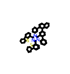 c1ccc(-c2ccc(-c3c(-c4ccccc4)ccc4ccccc34)cc2-c2nc(-c3cccc4c3sc3ccccc34)nc(-c3cccc4c3sc3ccccc34)n2)cc1